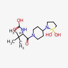 CC(C)(C)[C@@H](NC(=O)O)C(=O)N1CCC(N2CCCS2(O)O)CC1